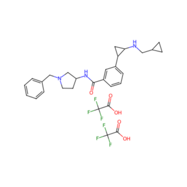 O=C(NC1CCN(Cc2ccccc2)C1)c1cccc(C2CC2NCC2CC2)c1.O=C(O)C(F)(F)F.O=C(O)C(F)(F)F